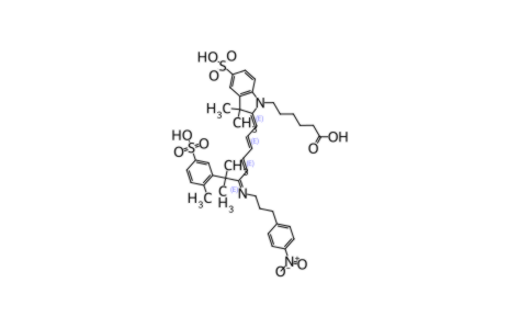 Cc1ccc(S(=O)(=O)O)cc1C(C)(C)C(/C=C/C=C/C=C1/N(CCCCCC(=O)O)c2ccc(S(=O)(=O)O)cc2C1(C)C)=N/CCCc1ccc([N+](=O)[O-])cc1